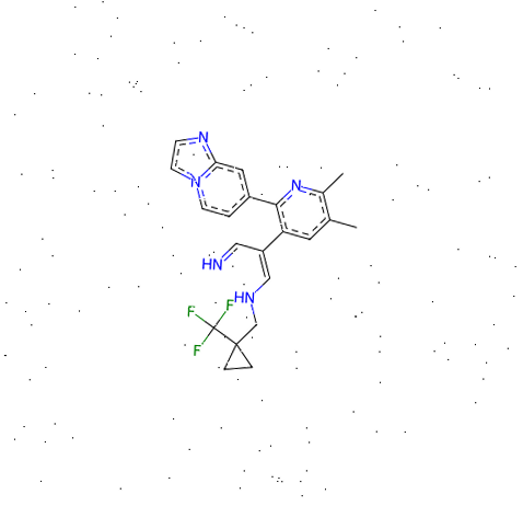 Cc1cc(/C(C=N)=C/NCC2(C(F)(F)F)CC2)c(-c2ccn3ccnc3c2)nc1C